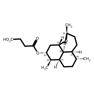 C[C@H]1[C@H](OC(=O)CCC(=O)O)C[C@@H]2O[C@@]3(C)CC[C@H]4[C@H](C)CC[C@@H]1[C@@]24OO3